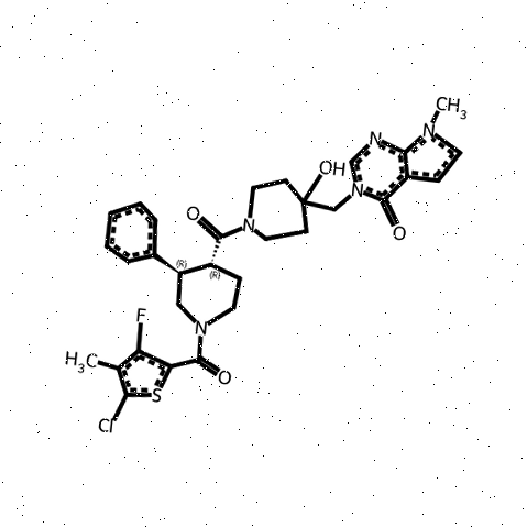 Cc1c(Cl)sc(C(=O)N2CC[C@@H](C(=O)N3CCC(O)(Cn4cnc5c(ccn5C)c4=O)CC3)[C@H](c3ccccc3)C2)c1F